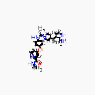 C=C(Nc1ccc(Oc2ccnc(C(=O)NC)c2)cc1)N1CC=C(/C(C)=C2/C(=N)NC=C2C)CC1